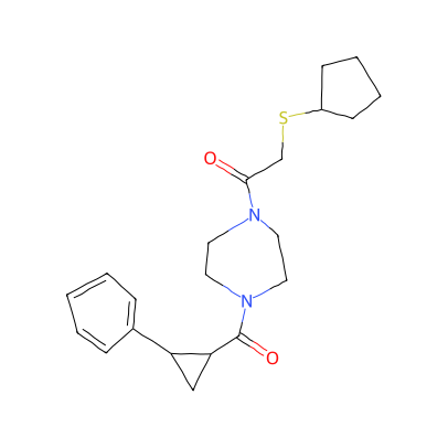 O=C(CSC1CCCC1)N1CCN(C(=O)C2CC2c2ccccc2)CC1